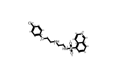 O=S(=O)(NCCNCCOc1ccc(Cl)cc1)c1cccc2cnccc12